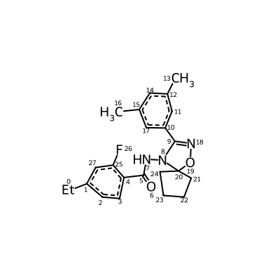 CCc1ccc(C(=O)NN2C(c3cc(C)cc(C)c3)=NOC23CCCC3)c(F)c1